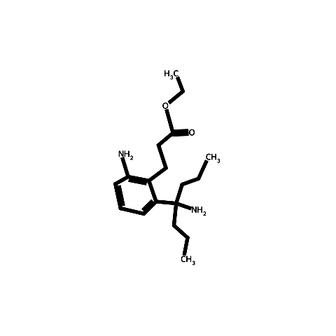 CCCC(N)(CCC)c1cccc(N)c1CCC(=O)OCC